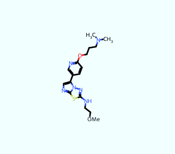 COCCNc1nn2c(-c3ccc(OCCCN(C)C)nc3)cnc2s1